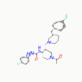 CC(=O)N1CC[C@@H](NC(=O)Nc2ccc(F)cc2)[C@H](CN2CCCC(Cc3ccc(F)cc3)C2)C1